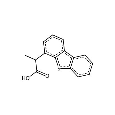 CC(C(=O)O)c1cccc2c1sc1ccccc12